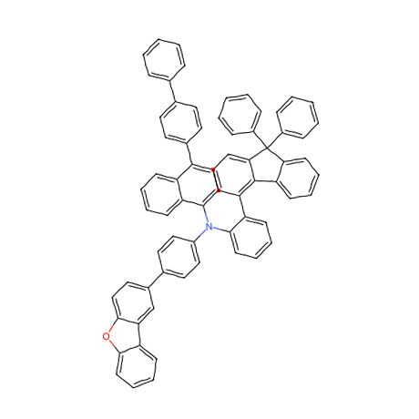 c1ccc(-c2ccc(-c3ccc(N(c4ccc(-c5ccc6oc7ccccc7c6c5)cc4)c4ccccc4-c4cccc5c4-c4ccccc4C5(c4ccccc4)c4ccccc4)c4ccccc34)cc2)cc1